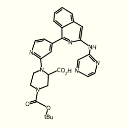 CC(C)(C)OC(=O)N1CCN(c2cc(-c3nc(Nc4cnccn4)cc4ccccc34)ccn2)C(C(=O)O)C1